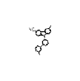 Cc1cccc(-c2cccc(-n3c4ccc(C)cc4c4cc(C#N)ccc43)c2)c1